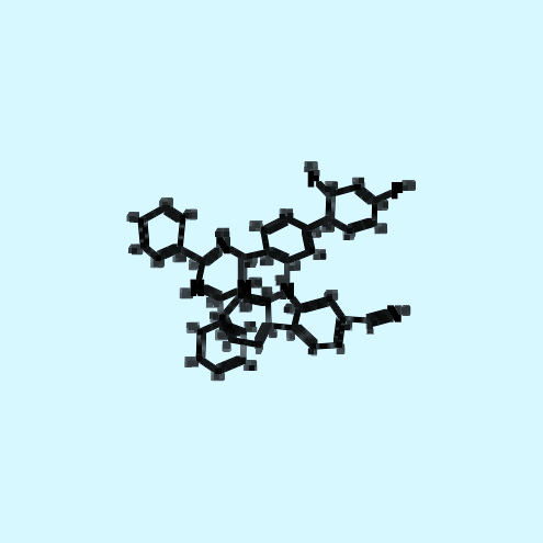 N#Cc1ccc2c3ccccc3n(-c3cc(-c4ccc(F)cc4F)ccc3-c3nc(-c4ccccc4)nc(-c4ccccc4)n3)c2c1